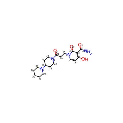 NC(=O)c1c(O)ccn(C[CH]C(=O)N2CCC(N3CCCCC3)CC2)c1=O